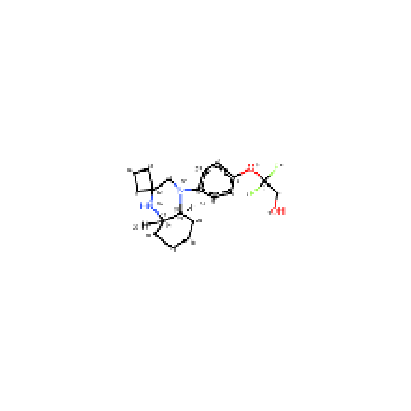 OCC(F)(F)Oc1ccc(N2CC3(CCC3)N[C@H]3CCCC[C@@H]32)cc1